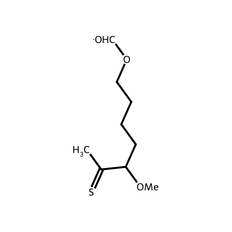 COC(CCCCO[C]=O)C(C)=S